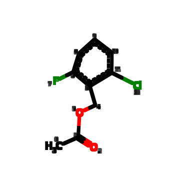 CC(=O)OCc1c(F)cccc1Cl